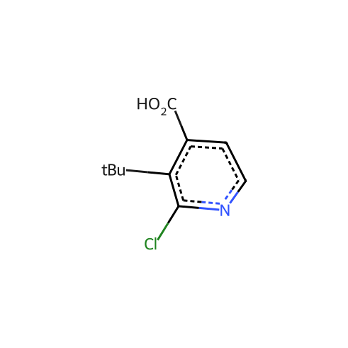 CC(C)(C)c1c(C(=O)O)ccnc1Cl